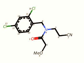 COCC(=O)N(CCC#N)Cc1ccc(Cl)cc1Cl